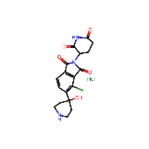 Cl.O=C1CCC(N2C(=O)c3ccc(C4(O)CCNCC4)c(F)c3C2=O)C(=O)N1